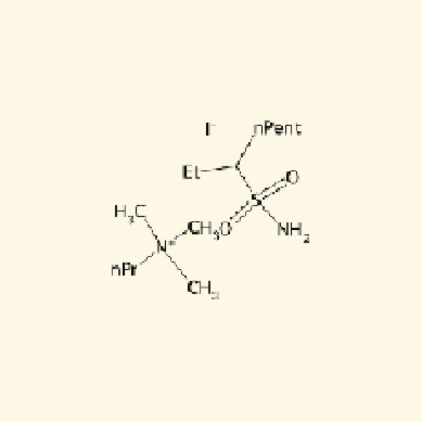 CCCCCC(CC)S(N)(=O)=O.CCC[N+](C)(C)C.[I-]